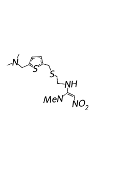 CN/C(=C\[N+](=O)[O-])NCCSCc1ccc(CN(C)C)s1